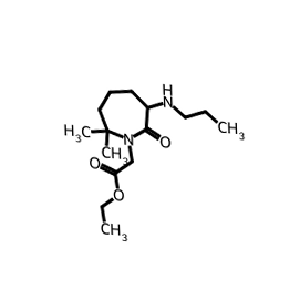 CCCNC1CCCC(C)(C)N(CC(=O)OCC)C1=O